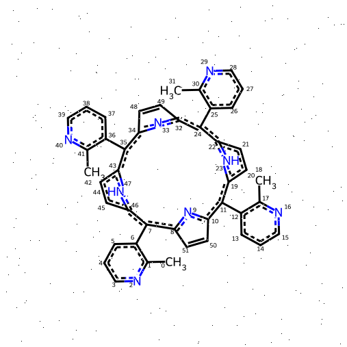 Cc1ncccc1-c1c2nc(c(-c3cccnc3C)c3ccc([nH]3)c(-c3cccnc3C)c3nc(c(-c4cccnc4C)c4ccc1[nH]4)C=C3)C=C2